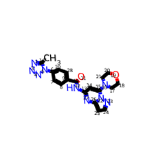 Cc1nnnn1-c1ccc(C(=O)Nc2cc(N3CCOCC3)n3nccc3n2)cc1